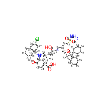 CC(C)(C)[Si](OC[C@H](/C=C/[C@H](O)[C@@H]1CC[C@H]1CN1C[C@@]2(CCCc3cc(Cl)ccc32)COc2ccc(C(=O)O)cc21)CCS(N)(=O)=O)(c1ccccc1)c1ccccc1